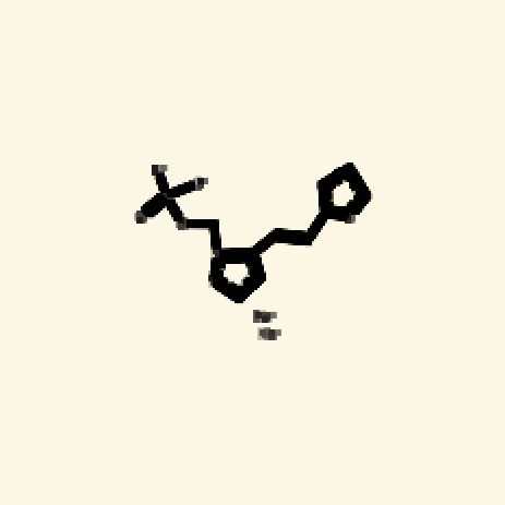 O=P([O-])([O-])OCn1nccc1/C=C/c1cccs1.[Na+].[Na+]